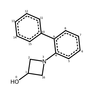 OC1CN(c2ccccc2-c2ccccc2)C1